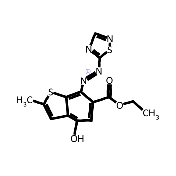 CCOC(=O)c1cc(O)c2cc(C)sc2c1/N=N/c1ncns1